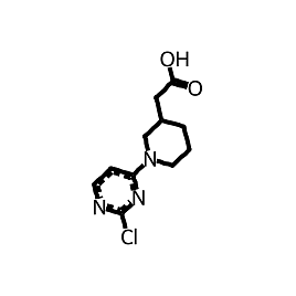 O=C(O)CC1CCCN(c2ccnc(Cl)n2)C1